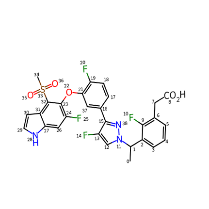 CC(c1cccc(CC(=O)O)c1F)n1cc(F)c(-c2ccc(F)c(Oc3c(F)cc4[nH]ccc4c3S(C)(=O)=O)c2)n1